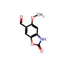 COc1cc2[nH]c(=O)oc2cc1C=O